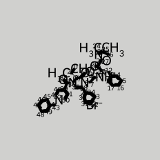 CC(C)[C@@H]1C(=O)N(CC(=O)N[C@@H](Cc2ccccc2)C(=O)C2=NC(C)(C)CO2)C(c2ccccc2)=CN1C(=O)c1cc[n+](Cc2ccccc2)cc1.[Br-]